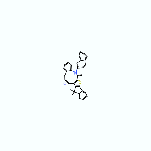 C=C1c2sc3c(c2/C=C\Cc2ccccc2N1c1ccc2ccccc2c1)C(C)(C)c1ccccc1-3